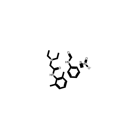 C#N.CCN(CC)CC(=O)Nc1c(C)cccc1C.O=[C]Nc1ccccc1.O=[NH+][O-]